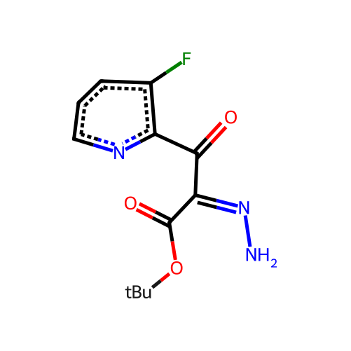 CC(C)(C)OC(=O)/C(=N\N)C(=O)c1ncccc1F